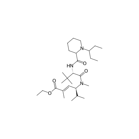 CCOC(=O)/C(C)=C/[C@H](C(C)C)N(C)C(=O)[C@@H](NC(=O)C1CCCCN1C(CC)CC)C(C)(C)C